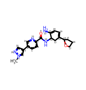 Cn1cc(-c2ccc(C(=O)NC3CC(C4CCCO4)=CC=C3N)nc2)cn1